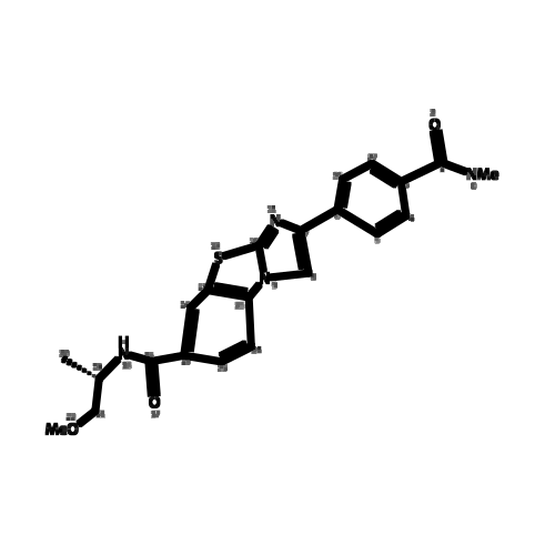 CNC(=O)c1ccc(-c2cn3c(n2)sc2cc(C(=O)N[C@@H](C)COC)ccc23)cc1